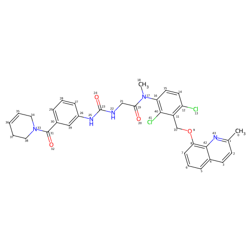 Cc1ccc2cccc(OCc3c(Cl)ccc(N(C)C(=O)CNC(=O)Nc4cccc(C(=O)N5CC=CCC5)c4)c3Cl)c2n1